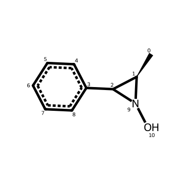 C[C@@H]1C(c2ccccc2)N1O